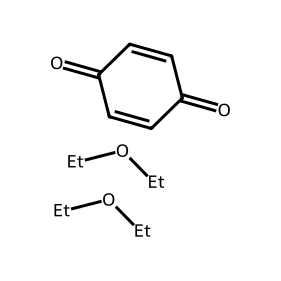 CCOCC.CCOCC.O=C1C=CC(=O)C=C1